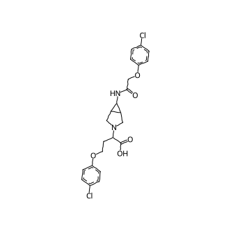 O=C(COc1ccc(Cl)cc1)NC1C2CN(C(CCOc3ccc(Cl)cc3)C(=O)O)CC21